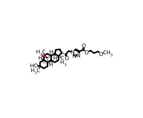 COCCCOC(=O)c1cn(CC(=O)[C@H]2CC[C@H]3[C@@H]4CC[C@H]5C[C@](C)(O)CC[C@]5(COC)[C@H]4CC[C@]23C)nn1